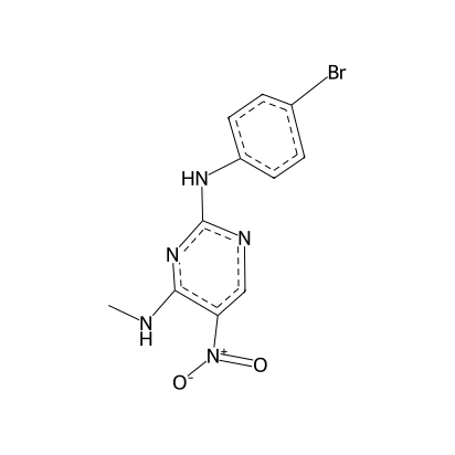 CNc1nc(Nc2ccc(Br)cc2)ncc1[N+](=O)[O-]